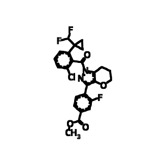 COC(=O)c1ccc(-c2nn(C(=O)c3c(Cl)cccc3C3(C(F)F)CC3)c3c2OCCC3)c(F)c1